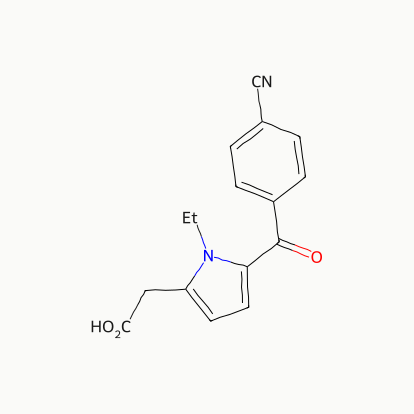 CCn1c(CC(=O)O)ccc1C(=O)c1ccc(C#N)cc1